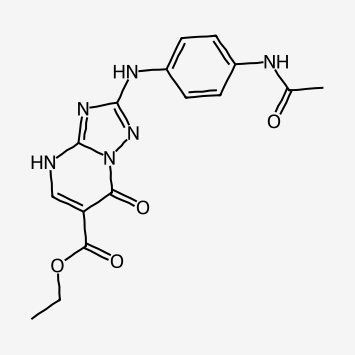 CCOC(=O)c1c[nH]c2nc(Nc3ccc(NC(C)=O)cc3)nn2c1=O